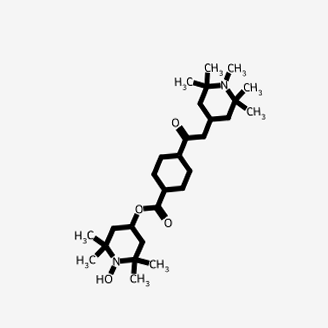 CN1C(C)(C)CC(CC(=O)C2CCC(C(=O)OC3CC(C)(C)N(O)C(C)(C)C3)CC2)CC1(C)C